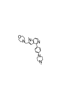 CN1CCN(c2ccc(-c3nccc4c3cc(CN3CCOCC3)n4C)cc2)CC1